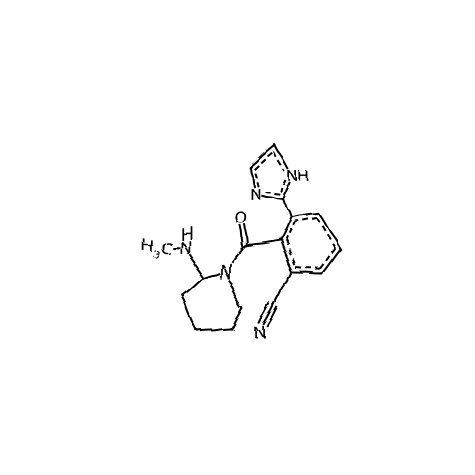 CNC1CCCCN1C(=O)c1c(C#N)cccc1-c1ncc[nH]1